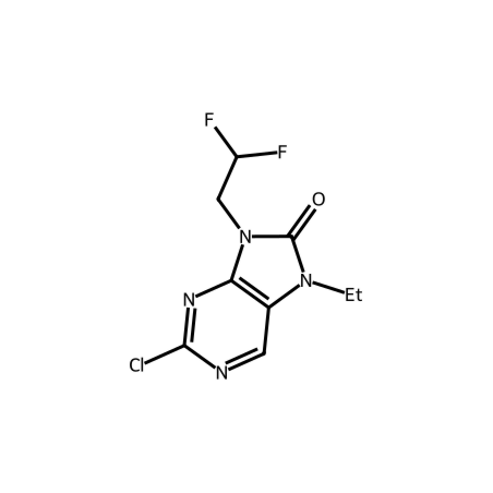 CCn1c(=O)n(CC(F)F)c2nc(Cl)ncc21